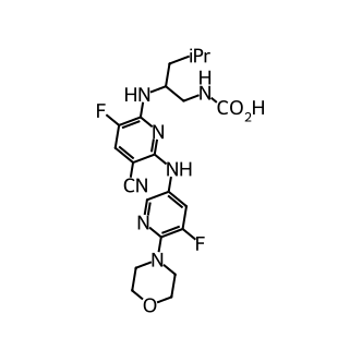 CC(C)CC(CNC(=O)O)Nc1nc(Nc2cnc(N3CCOCC3)c(F)c2)c(C#N)cc1F